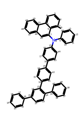 Cc1cccc2c1c(N(c1ccccc1)c1ccc(-c3ccc(-c4cc(-c5ccccc5)ccc4-c4ccccc4)cc3)cc1)cc1ccccc12